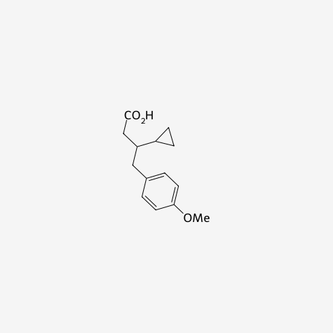 COc1ccc(CC(CC(=O)O)C2CC2)cc1